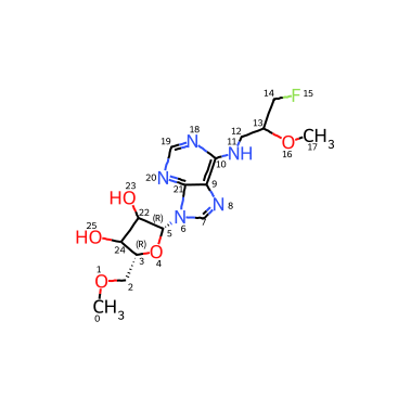 COC[C@H]1O[C@@H](n2cnc3c(NCC(CF)OC)ncnc32)C(O)C1O